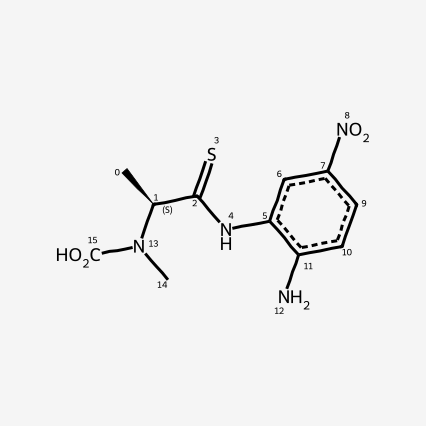 C[C@@H](C(=S)Nc1cc([N+](=O)[O-])ccc1N)N(C)C(=O)O